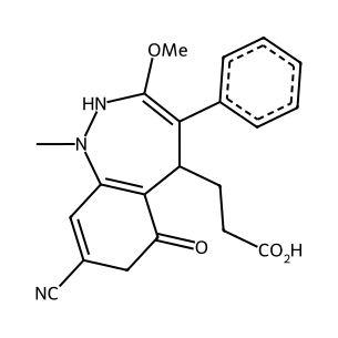 COC1=C(c2ccccc2)C(CCC(=O)O)C2=C(C=C(C#N)CC2=O)N(C)N1